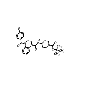 CC(C)(C)OC(=O)N1CCC(NC(=O)N2CCN(C(=O)c3ccc(F)cc3)c3ccccc32)CC1